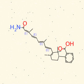 CC1=C(/C=C/C(C)=C/C=C/C(C)=C/C(N)=O)C(C)(C)C(c2ccccc2C(=O)O)CC1